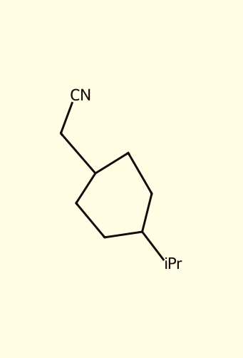 CC(C)C1CCC(CC#N)CC1